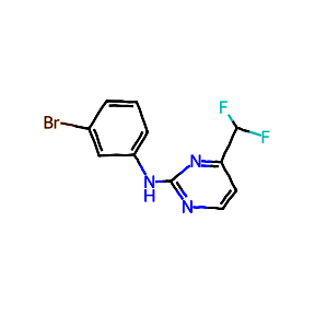 FC(F)c1ccnc(Nc2cccc(Br)c2)n1